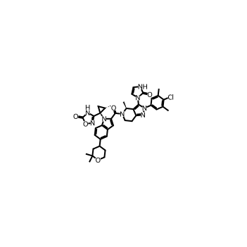 Cc1cc(-n2nc3c(c2-n2cc[nH]c2=O)[C@H](C)N(C(=O)c2cc4cc(C5CCOC(C)(C)C5)ccc4n2[C@@]2(c4noc(=O)[nH]4)C[C@@H]2C)CC3)cc(C)c1Cl